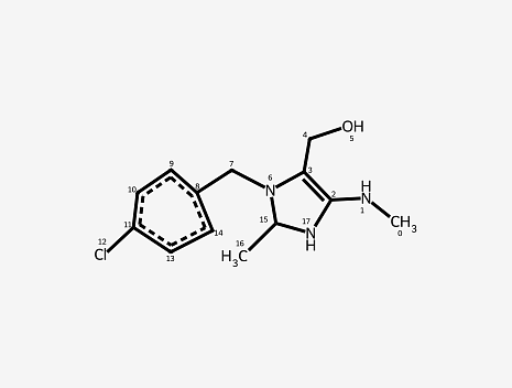 CNC1=C(CO)N(Cc2ccc(Cl)cc2)C(C)N1